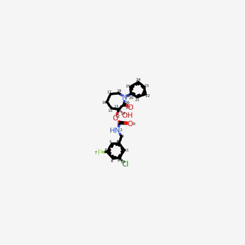 O=C(NCc1cc(F)cc(Cl)c1)O[C@@]1(O)CCCCN(c2ccccc2)C1=O